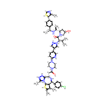 C=C(N[C@@H](C)c1ccc(-c2scnc2C)cc1)[C@@H]1C[C@@H](O)CN1C(=O)[C@@H](C(C)C)n1cc(-c2ccc(N3CCN(C(=O)C[C@@H]4N=C(c5ccc(Cl)cc5)c5c(sc(C)c5C)-n5c(C)nnc54)CC3)nc2)cn1